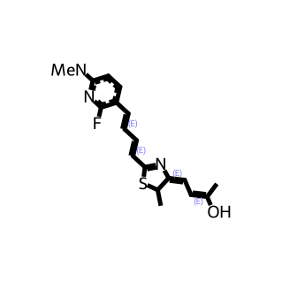 CNc1ccc(/C=C/C=C/C2=NC(=C/C=C(\C)O)/C(C)S2)c(F)n1